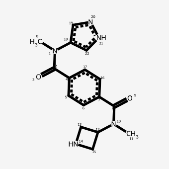 CN(C(=O)c1ccc(C(=O)N(C)C2CNC2)cc1)c1cn[nH]c1